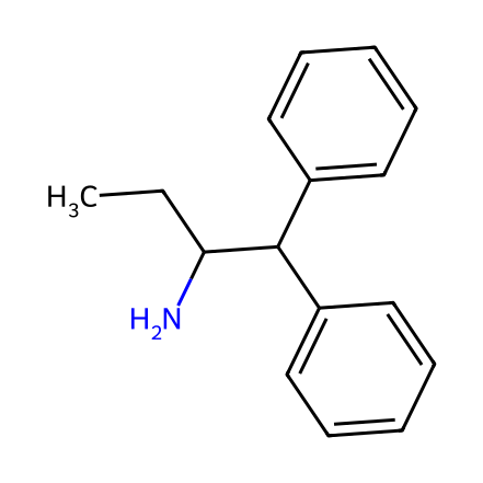 CCC(N)C(c1ccccc1)c1ccccc1